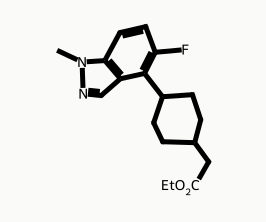 CCOC(=O)CC1CCC(c2c(F)ccc3c2cnn3C)CC1